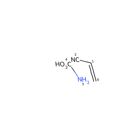 C=CC#N.NC(=O)O